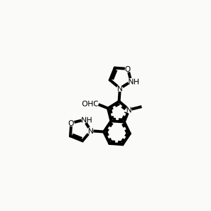 Cn1c(N2C=CON2)c(C=O)c2c(N3C=CON3)cccc21